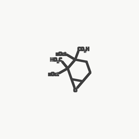 CCCCCCCCC1(C(=O)O)CCC2OC2C1(CCCCCCCC)C(=O)O